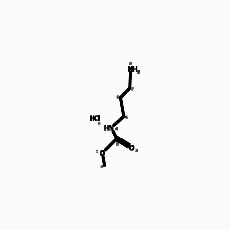 COC(=O)NCCCN.Cl